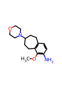 COc1c(N)ccc2c1CCC(N1CCOCC1)CC2